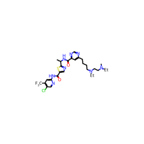 CCN(C)CCN(CC)CCCCc1cc(C(=O)NC(C)c2ncc(C(=O)Nc3cc(C(F)(F)F)c(Cl)cn3)s2)ncn1